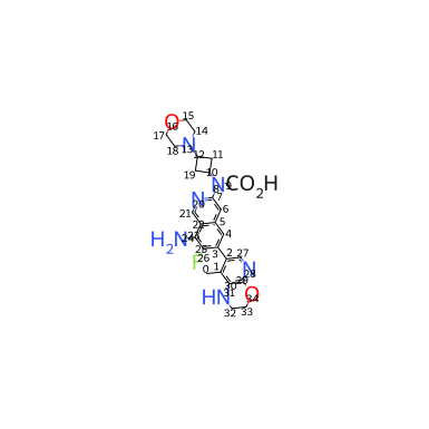 Cc1c(-c2cc3cc(N(C(=O)O)C4CC(N5CCOCC5)C4)ncc3c(N)c2F)cnc2c1NCCO2